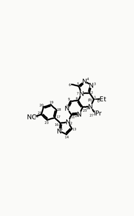 CC[C@@H]1c2nnc(C)n2-c2cnc(-n3ccnc3-c3cccc(C#N)c3)nc2N1C(C)C